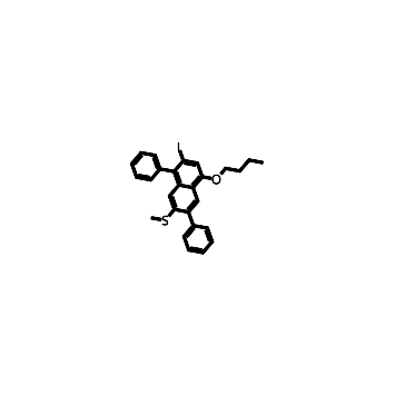 CCCCOc1cc(I)c(-c2ccccc2)c2cc(SC)c(-c3ccccc3)cc12